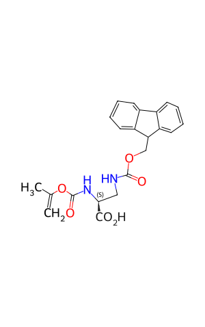 C=C(C)OC(=O)N[C@@H](CNC(=O)OCC1c2ccccc2-c2ccccc21)C(=O)O